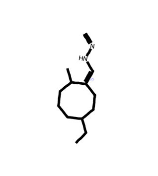 C=NN/C=C1/CCC(CC)CCCC1C